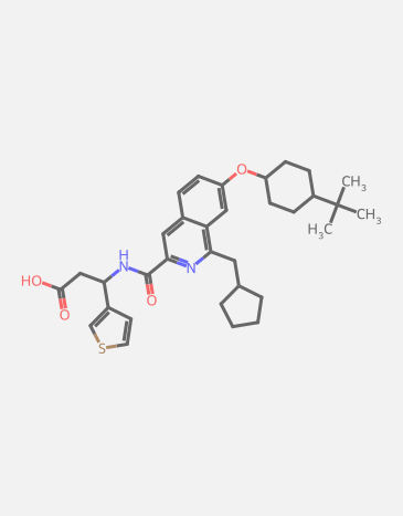 CC(C)(C)C1CCC(Oc2ccc3cc(C(=O)NC(CC(=O)O)c4ccsc4)nc(CC4CCCC4)c3c2)CC1